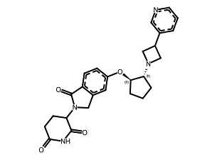 O=C1CCC(N2Cc3cc(O[C@@H]4CCC[C@H]4N4CC(c5cccnc5)C4)ccc3C2=O)C(=O)N1